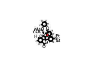 CCCCCCCCn1c(C)c(C2(c3ccc(N(CC)CC)cc3OCCOc3ccccc3OC)OC(=O)c3ccccc32)c2ccccc21